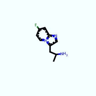 CC(N)Cc1cnc2cc(F)ccn12